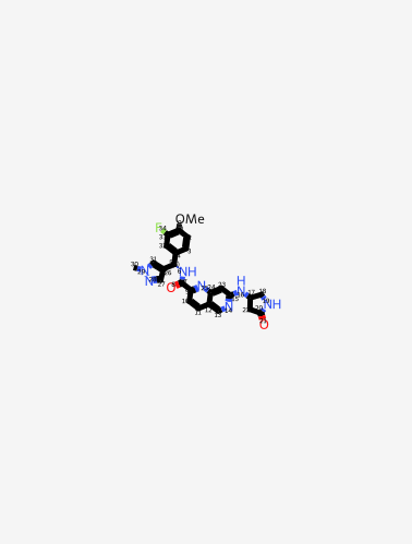 COc1ccc([C@H](NC(=O)c2ccc3cnc(NC4CNC(=O)C4)cc3n2)c2cnn(C)c2)cc1F